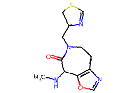 CNC1C(=O)N(CC2CSC=N2)CCc2ncoc21